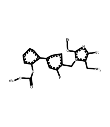 CCOc1nc(CC)c(CN)n1Cc1ccc(-c2ccccc2OC(=O)OC(C)(C)C)cc1F